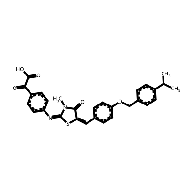 CC(C)c1ccc(COc2ccc(C=C3SC(=Nc4ccc(C(=O)C(=O)O)cc4)N(C)C3=O)cc2)cc1